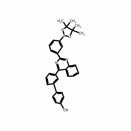 CC1(C)OB(c2cccc(-c3nc(-c4cccc(-c5ccc(C#N)cc5)c4)c4ccccc4n3)c2)OC1(C)C